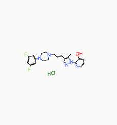 Cc1c(C=CCN2CCN(c3cc(F)cc(F)c3)CC2)cnn1-c1ncccc1O.Cl